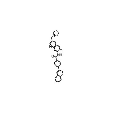 Cc1cc2cc(CN3CCCC3)cnc2cc1NC(=O)c1ccc(-c2ccc3ccccc3c2)cc1